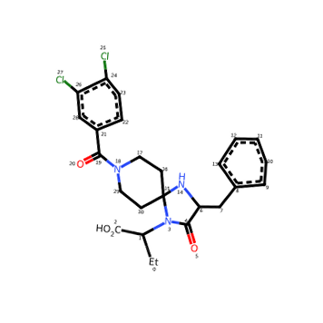 CCC(C(=O)O)N1C(=O)C(Cc2ccccc2)NC12CCN(C(=O)c1ccc(Cl)c(Cl)c1)CC2